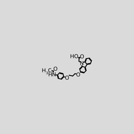 CC(=O)Nc1ccc(OCCCOc2ccc3c4ccccc4n(CC(=O)O)c3c2)cc1